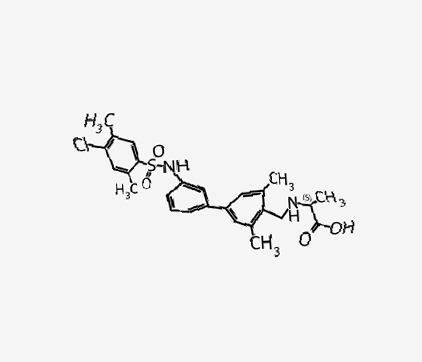 Cc1cc(S(=O)(=O)Nc2cccc(-c3cc(C)c(CN[C@@H](C)C(=O)O)c(C)c3)c2)c(C)cc1Cl